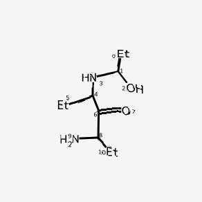 CCC(O)NC(CC)C(=O)C(N)CC